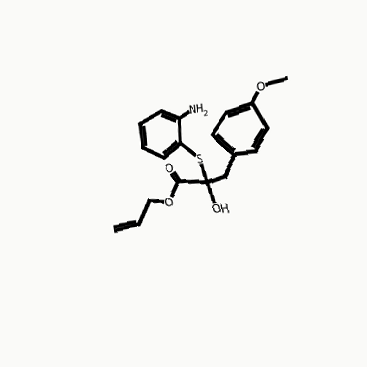 C=CCOC(=O)C(O)(Cc1ccc(OC)cc1)Sc1ccccc1N